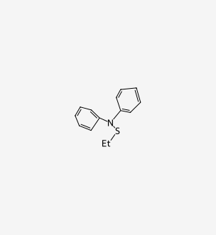 CCSN(c1ccccc1)c1ccccc1